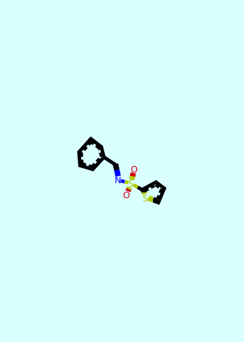 O=S(=O)(N=Cc1ccccc1)c1cccs1